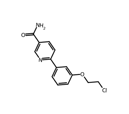 NC(=O)c1ccc(-c2cccc(OCCCl)c2)nc1